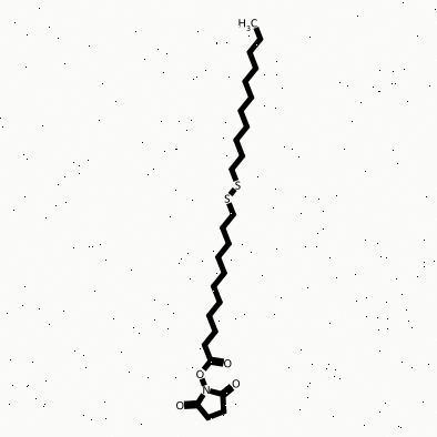 CCCCCCCCCCCSSCCCCCCCCCCC(=O)ON1C(=O)CCC1=O